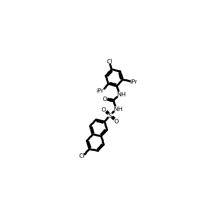 CC(C)c1cc(Cl)cc(C(C)C)c1NC(=O)NS(=O)(=O)c1ccc2cc(Cl)ccc2c1